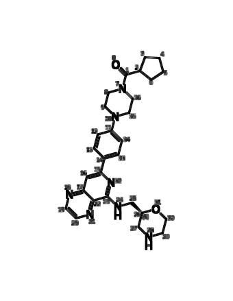 O=C(C1CCCC1)N1CCN(c2ccc(-c3cc4nccnc4c(NC[C@@H]4CNCCO4)n3)cc2)CC1